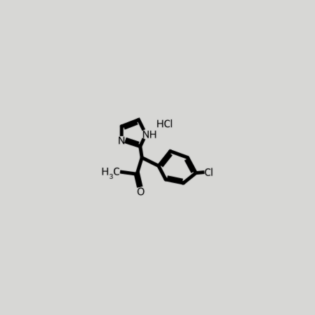 CC(=O)C(c1ccc(Cl)cc1)c1ncc[nH]1.Cl